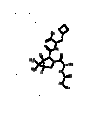 CC(=O)C(=O)[C@@H](CC1CCC1)NC(=O)[C@@H]1[C@@H]2[C@H](CN1C(=O)[C@@H](NC(=O)NC(C)(C)C)C(C)(C)C)C2(C)C